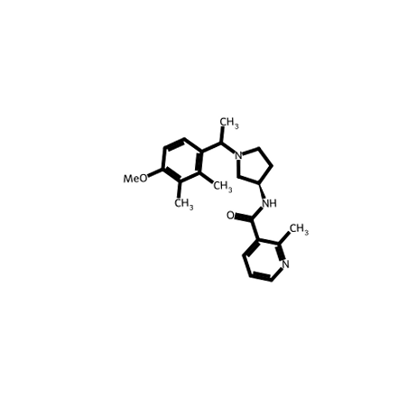 COc1ccc(C(C)N2CC[C@@H](NC(=O)c3cccnc3C)C2)c(C)c1C